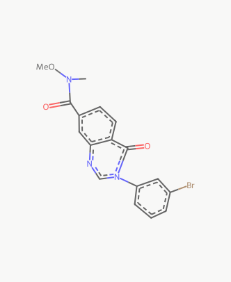 CON(C)C(=O)c1ccc2c(=O)n(-c3cccc(Br)c3)cnc2c1